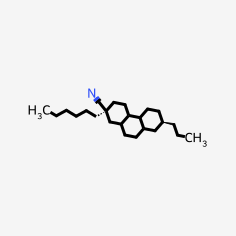 CCCCCC[C@]1(C#N)CCC2C(CCC3C[C@H](CCC)CCC32)C1